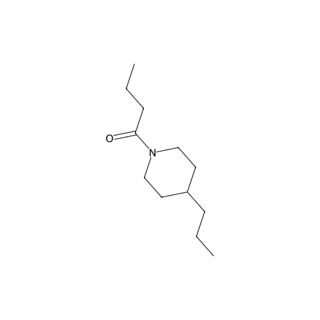 CCCC(=O)N1CCC(CCC)CC1